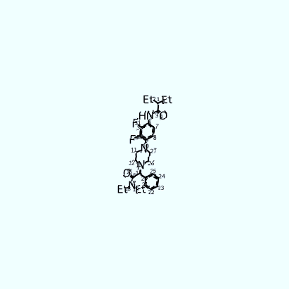 CCC(CC)C(=O)Nc1ccc(N2CCN(C(C(=O)N(CC)CC)c3ccccc3)CC2)c(F)c1F